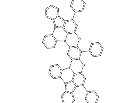 c1ccc(-c2c3c(cc4c2Oc2cc(-c5ccccc5)c5c6ccccc6n6c5c2B4c2ccccc2-6)B2c4ccccc4-n4c5ccccc5c5c(-c6ccccc6)cc(c2c54)O3)cc1